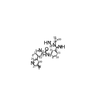 Cc1cnc(C(=O)Nc2cccc(C(=N)N(C=N)C3CC3)c2)cc1-c1cncc(F)c1